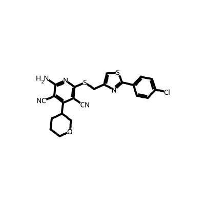 N#Cc1c(N)nc(SCc2csc(-c3ccc(Cl)cc3)n2)c(C#N)c1C1CCCOC1